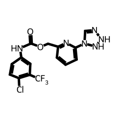 O=C(Nc1ccc(Cl)c(C(F)(F)F)c1)OCc1cccc(N2C=NNN2)n1